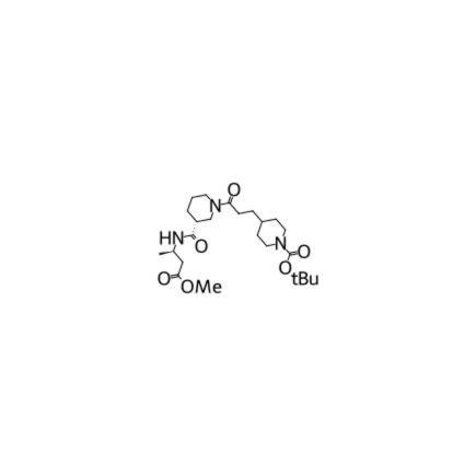 COC(=O)C[C@@H](C)NC(=O)[C@@H]1CCCN(C(=O)CCC2CCN(C(=O)OC(C)(C)C)CC2)C1